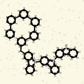 c1ccc(-c2cccc(-c3cccc(-c4cccc(-c5cccc(-c6cccc(Cc7ccc8c(c7)c7ccccc7n8-c7ccc8c(c7)c7ccccc7n8-c7ccc8sc9ccccc9c8c7)c6)c5)c4)c3)c2)cc1